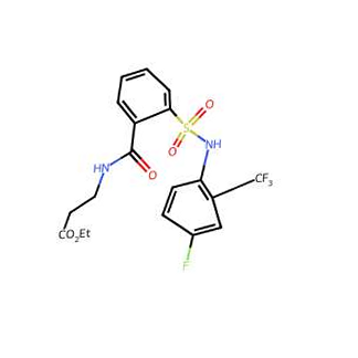 CCOC(=O)CCNC(=O)c1ccccc1S(=O)(=O)Nc1ccc(F)cc1C(F)(F)F